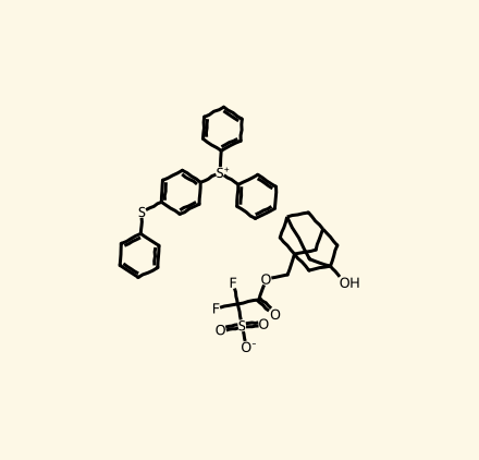 O=C(OCC12CC3CC(CC(O)(C3)C1)C2)C(F)(F)S(=O)(=O)[O-].c1ccc(Sc2ccc([S+](c3ccccc3)c3ccccc3)cc2)cc1